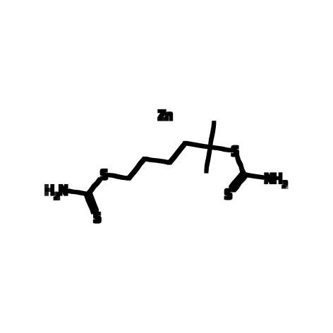 CC(C)(CCCCSC(N)=S)SC(N)=S.[Zn]